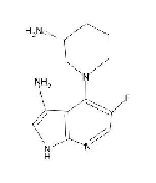 Nc1c[nH]c2ncc(F)c(N3CCC[C@@H](N)C3)c12